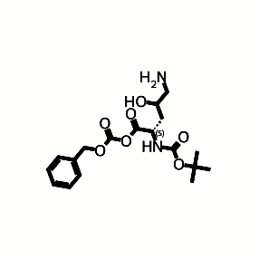 CC(C)(C)OC(=O)N[C@@H](CC(O)CN)C(=O)OC(=O)OCc1ccccc1